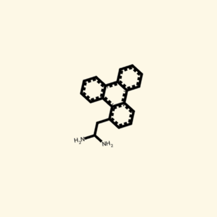 NC(N)Cc1cccc2c3ccccc3c3ccccc3c12